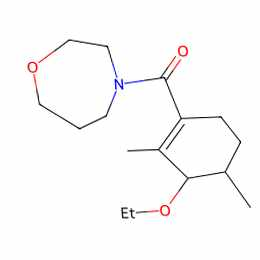 CCOC1C(C)=C(C(=O)N2CCCOCC2)CCC1C